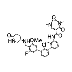 COc1cc(-c2cccc(-c3cccc(NC(=O)C4=CN(C)C5OC5N(C)C4=O)c3C)c2Cl)cc(F)c1CN[C@@H]1CCC(=O)NC1